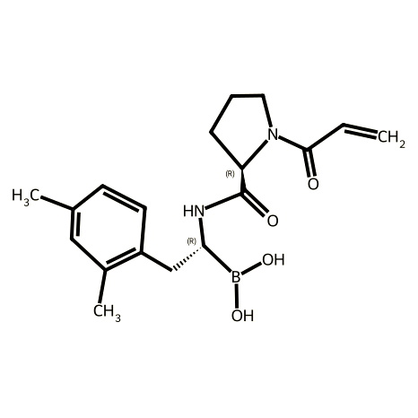 C=CC(=O)N1CCC[C@@H]1C(=O)N[C@@H](Cc1ccc(C)cc1C)B(O)O